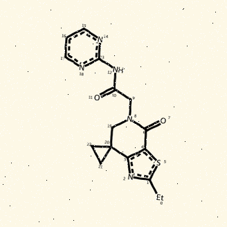 CCc1nc2c(s1)C(=O)N(CC(=O)Nc1ncccn1)CC21CC1